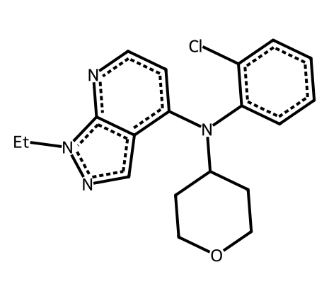 CCn1ncc2c(N(c3ccccc3Cl)C3CCOCC3)ccnc21